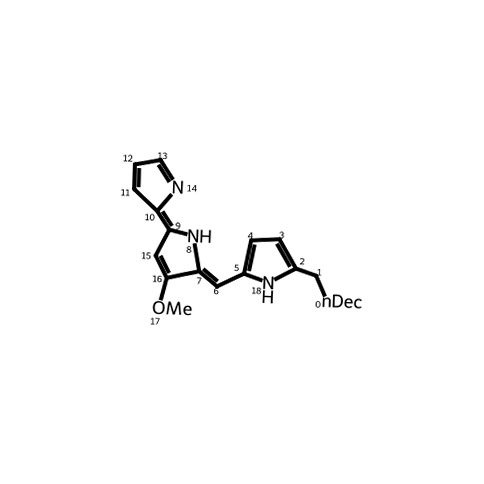 CCCCCCCCCCCc1ccc(/C=c2\[nH]/c(=C3/C=CC=N3)cc2OC)[nH]1